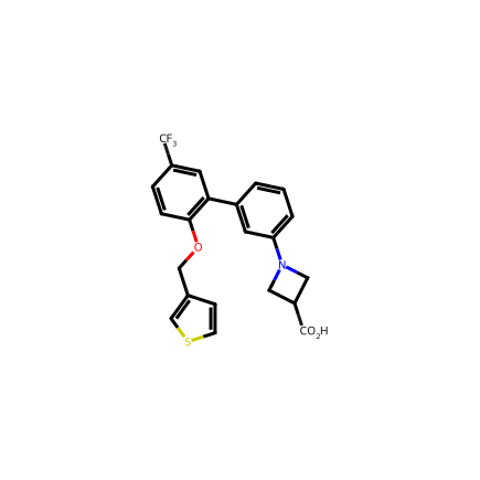 O=C(O)C1CN(c2cccc(-c3cc(C(F)(F)F)ccc3OCc3ccsc3)c2)C1